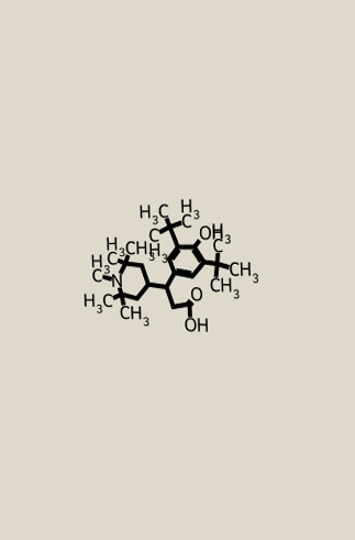 CN1C(C)(C)CC(C(CC(=O)O)c2cc(C(C)(C)C)c(O)c(C(C)(C)C)c2)CC1(C)C